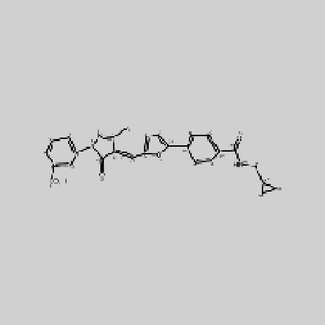 CC1=NN(c2cccc(C(=O)O)c2)C(=O)/C1=C/c1ccc(-c2ccc(C(=O)NCC3CC3)cc2)o1